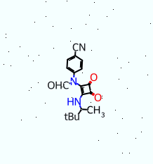 CC(Nc1c(N(C=O)c2ccc(C#N)cc2)c(=O)c1=O)C(C)(C)C